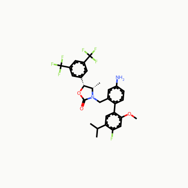 COc1cc(F)c(C(C)C)cc1-c1ccc(N)cc1CN1C(=O)O[C@H](c2cc(C(F)(F)F)cc(C(F)(F)F)c2)[C@@H]1C